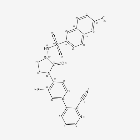 N#Cc1ncccc1-c1ccc(N2CC[C@H](NS(=O)(=O)c3ccc4cc(Cl)ccc4c3)C2=O)c(F)c1